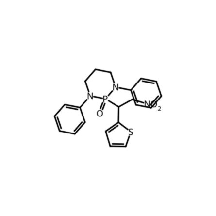 O=[N+]([O-])CC(c1cccs1)P1(=O)N(c2ccccc2)CCCN1c1ccccc1